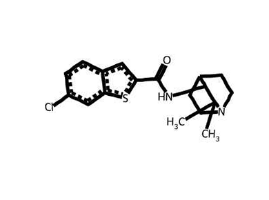 CC1(C)C(NC(=O)c2cc3ccc(Cl)cc3s2)C2CCN1CC2